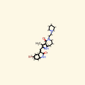 Cc1c(C=C2C(=O)Nc3ccc(Br)cc32)[nH]c2c1C(=O)N(CCN1CCCCC1)CCC2